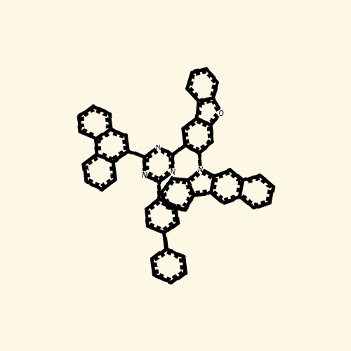 c1ccc(-c2ccc(-c3nc(-c4cc5c(cc4-n4c6ccccc6c6cc7ccccc7cc64)oc4ccccc45)nc(-c4cc5ccccc5c5ccccc45)n3)cc2)cc1